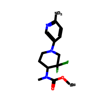 CN(C(=O)OC(C)(C)C)C1CCN(c2ccc([N+](=O)[O-])nc2)CC1(F)F